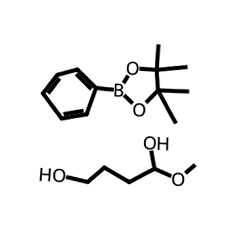 CC1(C)OB(c2ccccc2)OC1(C)C.COC(O)CCCO